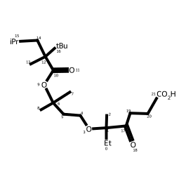 CCC(C)(OCCC(C)(C)OC(=O)C(C)(CC(C)C)C(C)(C)C)C(=O)CCC(=O)O